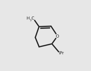 CC1=COC(C(C)C)CC1